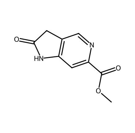 COC(=O)c1cc2c(cn1)CC(=O)N2